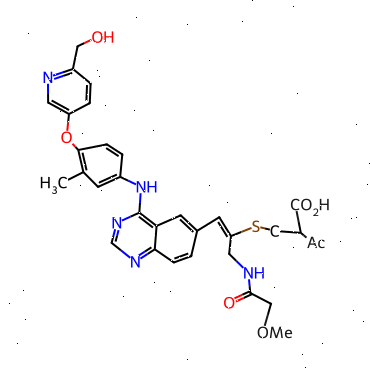 COCC(=O)NC/C(=C\c1ccc2ncnc(Nc3ccc(Oc4ccc(CO)nc4)c(C)c3)c2c1)SCC(C(C)=O)C(=O)O